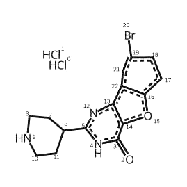 Cl.Cl.O=c1[nH]c(C2CCNCC2)nc2c1oc1ccc(Br)cc12